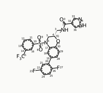 O=C(NC[C@H]1CN(S(=O)(=O)c2cccc(C(F)(F)F)c2)c2cc(-c3cc(F)ccc3F)ccc2O1)c1cn[nH]c1